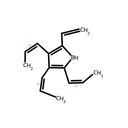 C=CC1=C(/C=C\C)C(/C=C\C)=C(/C=C\C)B1